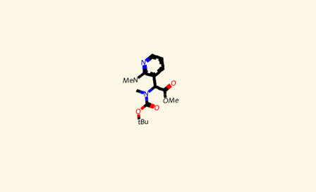 CNc1ncccc1C(C(=O)OC)N(C)C(=O)OC(C)(C)C